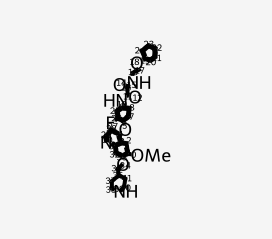 COc1cc2c(Oc3ccc(NC(=O)C(=O)NCCOc4ccccc4)cc3F)ccnc2cc1OCC1CCNCC1